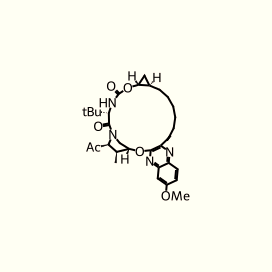 COc1ccc2nc3c(nc2c1)O[C@H]1CN(C(=O)[C@H](C(C)(C)C)NC(=O)O[C@@H]2C[C@H]2CCCCCC32CC2)[C@H](C(C)=O)[C@@H]1C